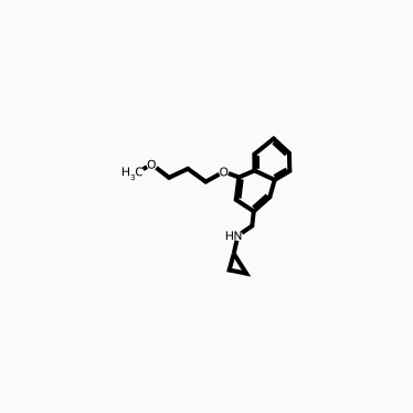 COCCCOc1cc(CNC2CC2)cc2ccccc12